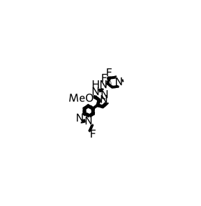 COc1nc(N[C@@H]2CCN(C)CC2(F)F)nn2ccc(-c3ccc4ncn(CCF)c4c3)c12